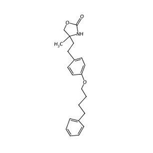 CC1(CCc2ccc(OCCCCc3ccccc3)cc2)COC(=O)N1